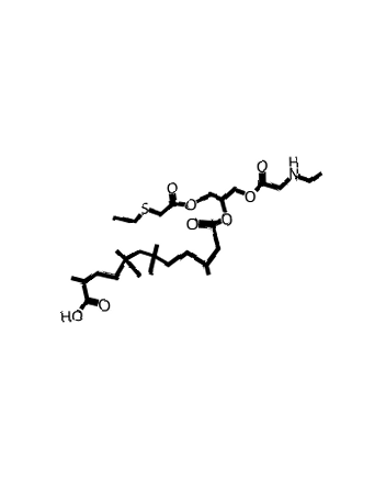 CCNCC(=O)OCC(COC(=O)CSCC)OC(=O)CC(C)CCC(C)(C)CC(C)(C)CCC(C)C(=O)O